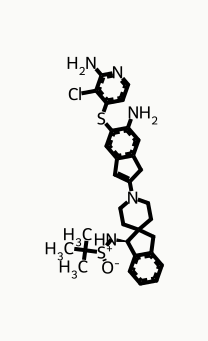 CC(C)(C)[S+]([O-])N[C@@H]1c2ccccc2CC12CCN(C1=Cc3cc(Sc4ccnc(N)c4Cl)c(N)cc3C1)CC2